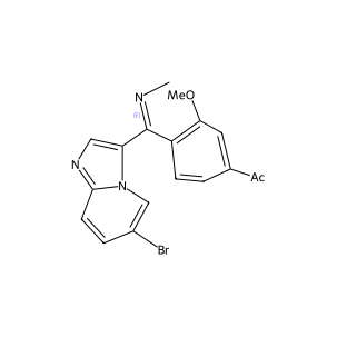 C/N=C(\c1ccc(C(C)=O)cc1OC)c1cnc2ccc(Br)cn12